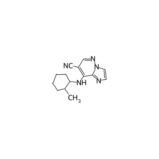 CC1CCCCC1Nc1c(C#N)cnn2ccnc12